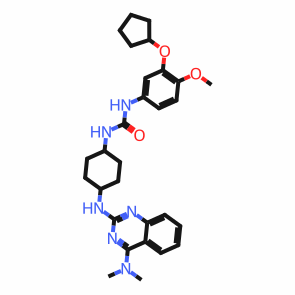 COc1ccc(NC(=O)NC2CCC(Nc3nc(N(C)C)c4ccccc4n3)CC2)cc1OC1CCCC1